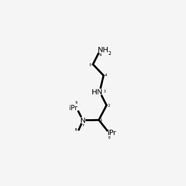 CC(C)C(CNCCN)N(C)C(C)C